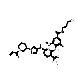 C=CC(=O)N1CCC[C@@H](n2cc(Nc3ncc(C(N)=O)c(Nc4c(C)cc(C(=O)NCCCO)cc4OC)n3)cn2)C1